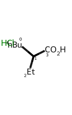 CCCCC(CC)C(=O)O.Cl